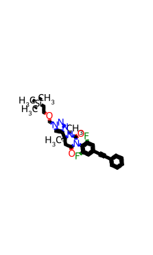 CN1C(=O)N(c2c(F)cc(C#Cc3ccccc3)cc2F)C(=O)C[C@@]1(C)c1cn(COCC[Si](C)(C)C)nn1